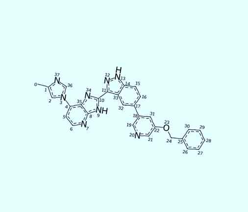 Cc1cn(-c2ccnc3[nH]c(-c4n[nH]c5ccc(-c6cncc(OCc7ccccc7)c6)cc45)nc23)cn1